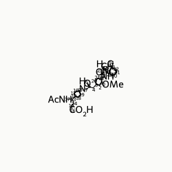 COc1cc(CC(=O)CNc2ccc(C(CCC(=O)O)NC(C)=O)cc2)ccc1NC(=O)N(C)c1ccccc1C